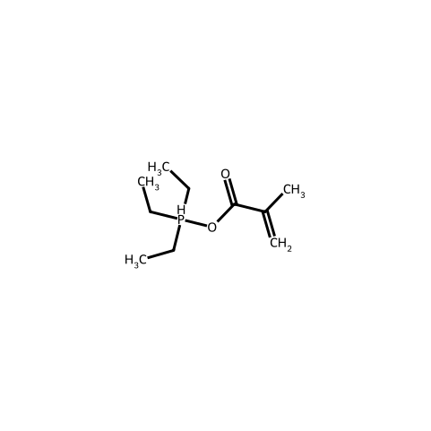 C=C(C)C(=O)O[PH](CC)(CC)CC